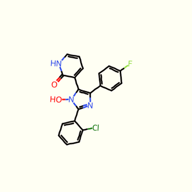 O=c1[nH]cccc1-c1c(-c2ccc(F)cc2)nc(-c2ccccc2Cl)n1O